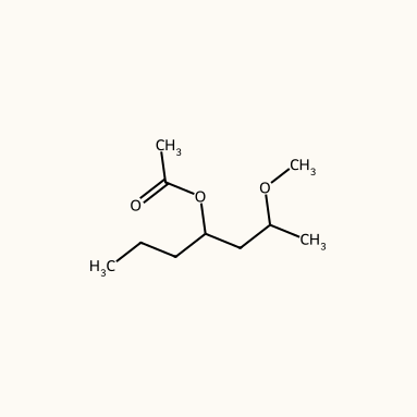 CCCC(CC(C)OC)OC(C)=O